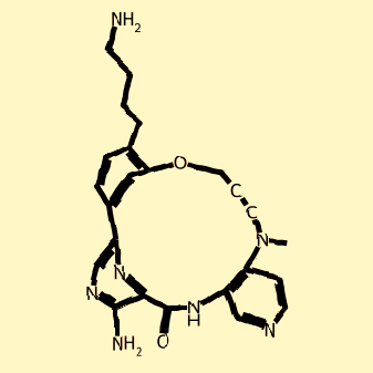 CN1CCCOc2cc(ccc2CCCCN)-c2cnc(N)c(n2)C(=O)Nc2cnccc21